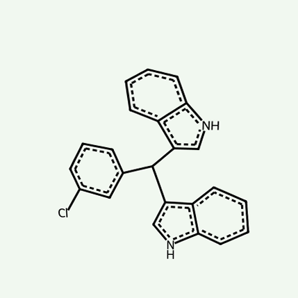 Clc1cccc(C(c2c[nH]c3ccccc23)c2c[nH]c3ccccc23)c1